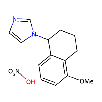 COc1cccc2c1CCCC2n1ccnc1.O=[N+]([O-])O